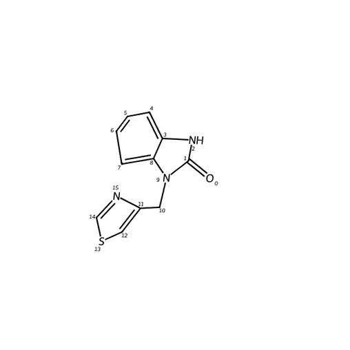 O=c1[nH]c2ccccc2n1Cc1cscn1